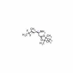 C/C(=C\C=C(\N)CB1OC(C)(C)C(C)(C)O1)C(C)(F)F